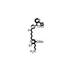 CCc1nc(CCCC[C@@H](F)[C@@H]2CCN([C@H](C=O)c3cccnc3C3CCC3)C2)cc(OC)c1CCCN